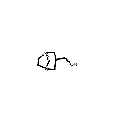 OCC1CN2CCN(CC2)C1